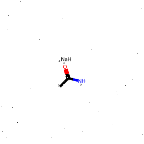 CC([NH])=O.[NaH]